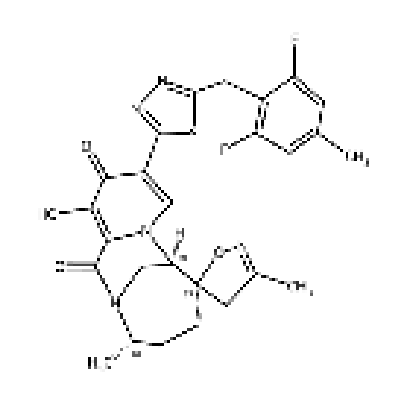 CC1=NO[C@@]2(CC[C@H](C)N3C[C@H]2n2cc(-c4nnc(Cc5c(F)cc(C)cc5F)s4)c(=O)c(O)c2C3=O)C1